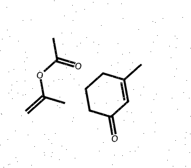 C=C(C)OC(C)=O.CC1=CC(=O)CCC1